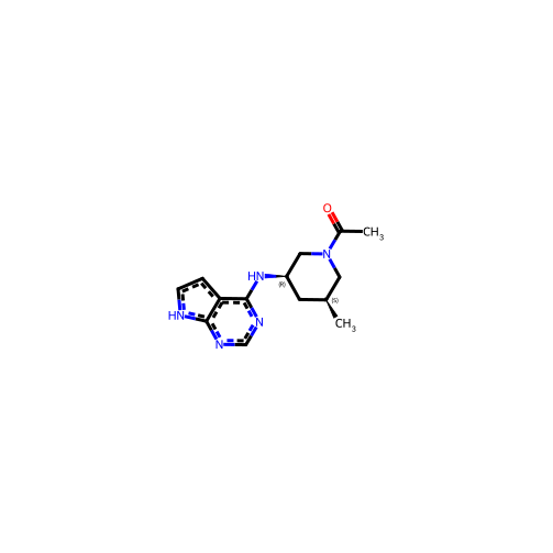 CC(=O)N1C[C@@H](C)C[C@@H](Nc2ncnc3[nH]ccc23)C1